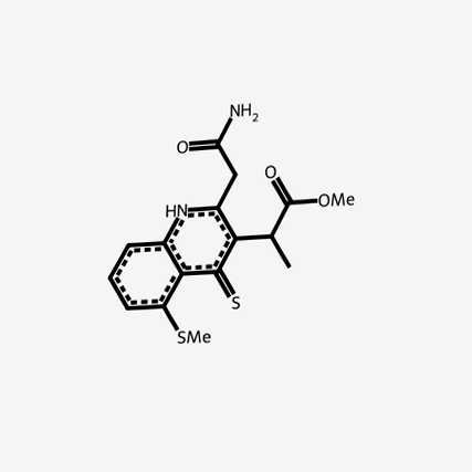 COC(=O)C(C)c1c(CC(N)=O)[nH]c2cccc(SC)c2c1=S